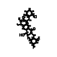 CC1c2ccc(C(=O)N(CCO)Cc3c(F)cc(F)cc3F)cc2N(Cc2c(F)cccc2Cl)C(=O)N1C